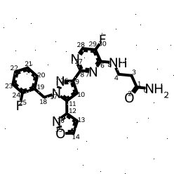 NC(=O)CCNc1nc(-c2cc(-c3ccon3)n(Cc3ccccc3F)n2)ncc1F